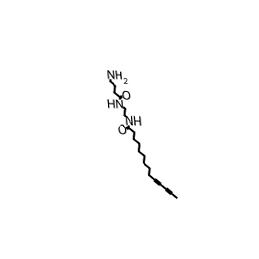 CC#CC#CCCCCCCCCC(=O)NCCNC(=O)CCCN